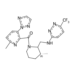 Cc1ccc(-n2nccn2)c(C(=O)N2CCC[C@@H](C)C2CNc2ccc(C(F)(F)F)nn2)n1